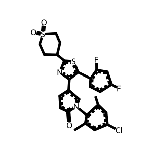 Cc1cc(Cl)cc(C)c1-n1cc(-c2nc(C3CCS(=O)(=O)CC3)sc2-c2ccc(F)cc2F)ccc1=O